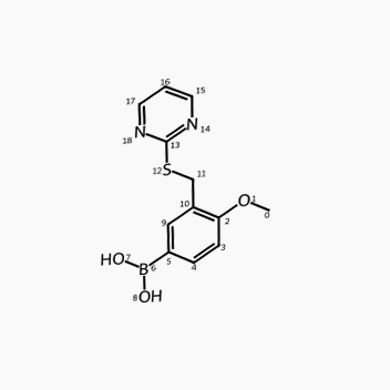 COc1ccc(B(O)O)cc1CSc1ncccn1